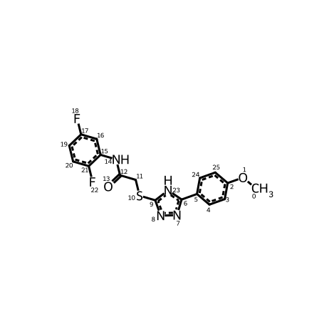 COc1ccc(-c2nnc(SCC(=O)Nc3cc(F)ccc3F)[nH]2)cc1